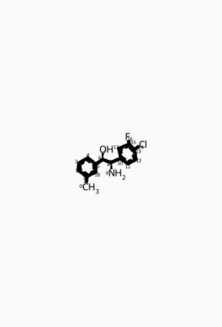 Cc1cccc([C@@H](O)[C@H](N)c2ccc(Cl)c(F)c2)c1